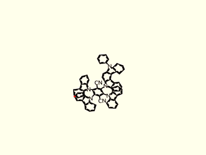 N#Cc1c(-n2c3ccccc3c3ccccc32)c(-n2c3ccccc3c3ccccc32)c(C#N)c(-n2c3ccccc3c3c4c5ccccc5n(-c5ccccc5)c4ccc32)c1-n1c2ccccc2c2ccccc21